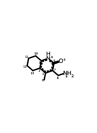 Cc1c2c([nH]c(=O)c1CN)CCCC2